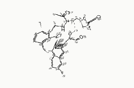 CC(=O)N(NCc1cccc(F)c1Cl)[C@@H](CON(C=O)c1cc2cc(F)ccc2cn1)C[C@@H]1COC(=O)O1